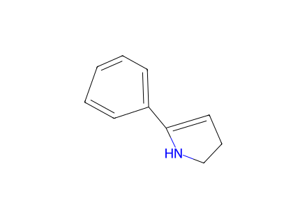 C1=C(c2ccccc2)NCC1